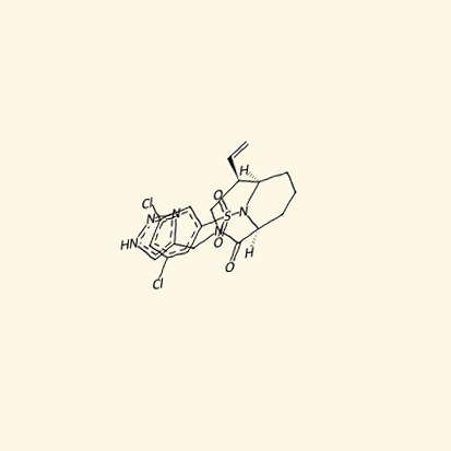 C=C[C@@H]1CN(Cc2c[nH]nn2)C(=O)[C@@H]2CCC[C@H]1N2S(=O)(=O)c1cc(Cl)cc(Cl)c1